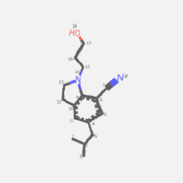 CC(C)Cc1cc(C#N)c2c(c1)CCN2CCCO